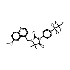 COc1ccc2nccc(CN3C(=O)N(c4ccc(S(=O)(=O)C(F)(F)F)cc4)C(=O)C3(C)C)c2c1